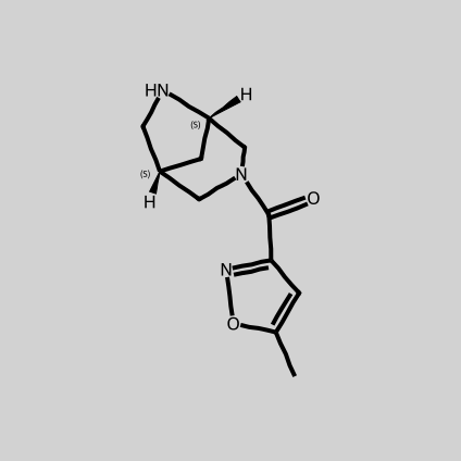 Cc1cc(C(=O)N2C[C@@H]3CN[C@@H](C3)C2)no1